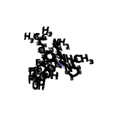 CCC1CCCCN1/C(=N/c1ccc(OCCC(C)C)cc1)NCCCN.O=C(O)C(F)(F)F.O=C(O)C(F)(F)F